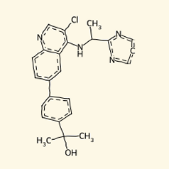 CC(Nc1c(Cl)cnc2ccc(-c3ccc(C(C)(C)O)cc3)cc12)c1ncccn1